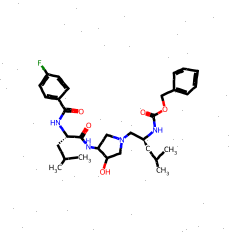 CC(C)C[C@@H](CN1CC(O)C(NC(=O)[C@H](CC(C)C)NC(=O)c2ccc(F)cc2)C1)NC(=O)OCc1ccccc1